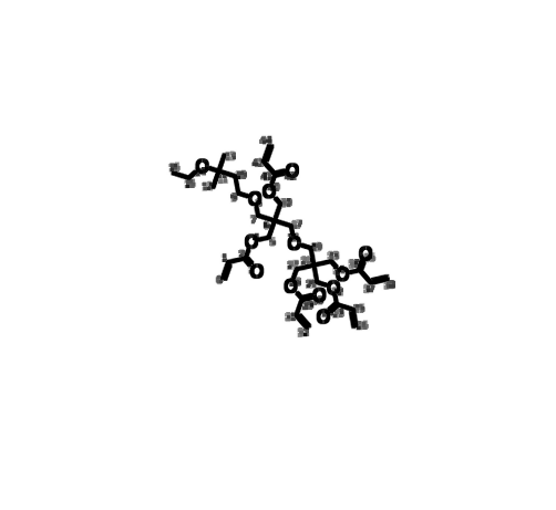 C=CC(=O)OCC(COCCC(C)(C)OCC)(COCC(COC(=O)C=C)(COC(=O)C=C)COC(=O)C=C)COC(=O)C=C